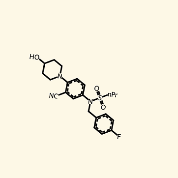 CCCS(=O)(=O)N(Cc1ccc(F)cc1)c1ccc(N2CCC(O)CC2)c(C#N)c1